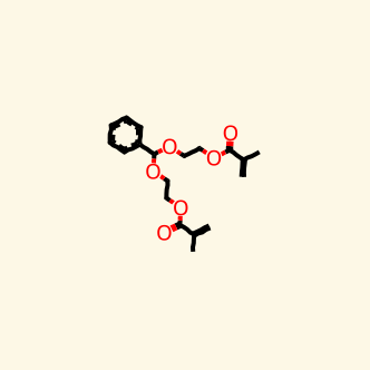 C=C(C)C(=O)OCCOC(OCCOC(=O)C(=C)C)c1ccccc1